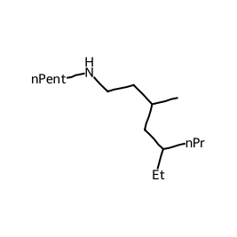 CCCCCNCCC(C)CC(CC)CCC